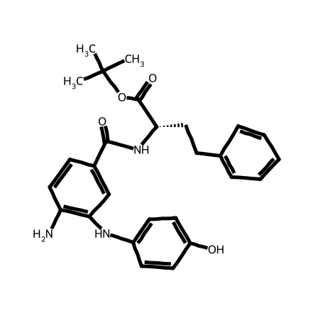 CC(C)(C)OC(=O)[C@H](CCc1ccccc1)NC(=O)c1ccc(N)c(Nc2ccc(O)cc2)c1